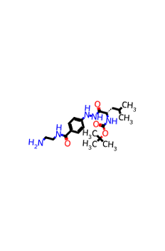 CC(C)C[C@H](NC(=O)OC(C)(C)C)C(=O)NNc1ccc(C(=O)NCCN)cc1